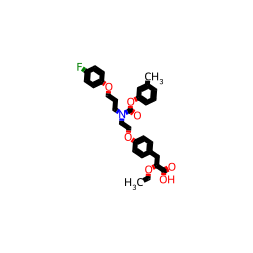 CCOC(Cc1ccc(OCCN(CCCOc2ccc(F)cc2)C(=O)Oc2cccc(C)c2)cc1)C(=O)O